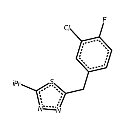 CC(C)c1nnc(Cc2ccc(F)c(Cl)c2)s1